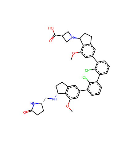 COc1cc(-c2cccc(-c3cccc(-c4cc5c(c(OC)c4)[C@@H](N4CC(C(=O)O)C4)CC5)c3Cl)c2Cl)cc2c1[C@H](NC[C@@H]1CCC(=O)N1)CC2